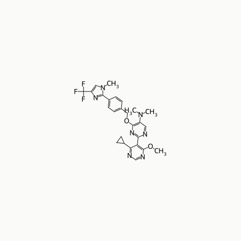 COc1ncnc(C2CC2)c1-c1ncc(N(C)C)c(OCc2ccc(-c3nc(C(F)(F)F)cn3C)cc2)n1